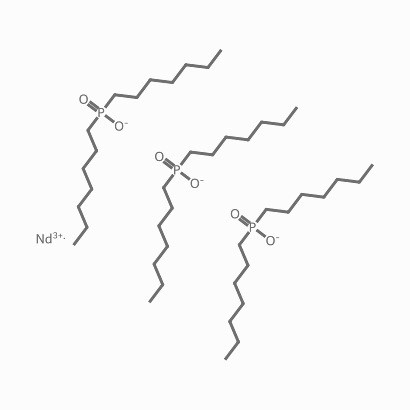 CCCCCCCP(=O)([O-])CCCCCCC.CCCCCCCP(=O)([O-])CCCCCCC.CCCCCCCP(=O)([O-])CCCCCCC.[Nd+3]